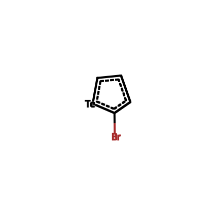 Brc1ccc[te]1